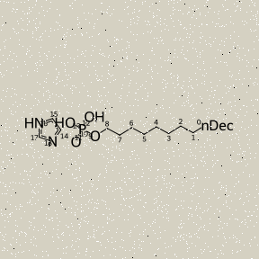 CCCCCCCCCCCCCCCCCCOP(=O)(O)O.c1c[nH]cn1